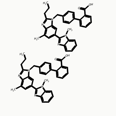 CCCc1nc2c(C)cc(-c3nc4ccccc4n3C)cc2n1Cc1ccc(-c2ccccc2C(=O)O)cc1.CCCc1nc2c(C)cc(-c3nc4ccccc4n3C)cc2n1Cc1ccc(-c2ccccc2C(=O)O)cc1